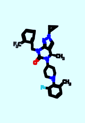 Cc1cccc(F)c1N1CCC(N2C(=O)N(Cc3ccccc3C(F)(F)F)c3nn(C4CC4)cc3[C@H]2C)CC1